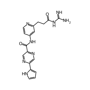 N=C(N)NC(=O)CCc1cc(NC(=O)c2cnc(-c3ccc[nH]3)cn2)ccn1